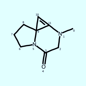 CN1CC(=O)N2CCCC23C=C13